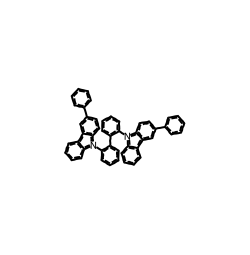 c1ccc(-c2ccc3c(c2)c2ccccc2n3-c2ccccc2-c2ccccc2-n2c3ccccc3c3cc(-c4ccccc4)ccc32)cc1